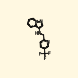 FC(F)(F)c1ccc(CNc2cnn3ccccc23)nc1